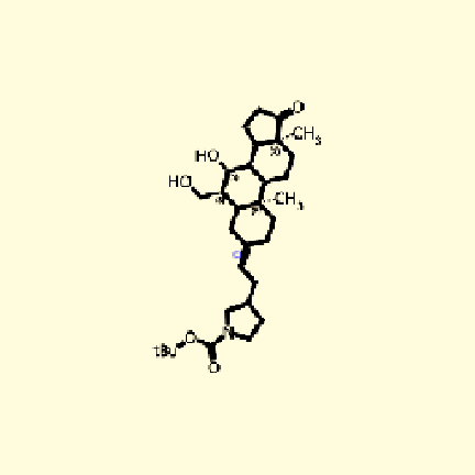 CC(C)(C)OC(=O)N1CCC(C/C=C2\CC[C@]3(C)C4CC[C@]5(C)C(=O)CCC5C4[C@H](O)[C@H](CO)C3C2)C1